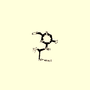 CCCCCC(C)Nc1nc(Cl)ncc1Cl